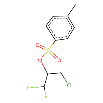 Cc1ccc(S(=O)(=O)OC(CCl)C(F)F)cc1